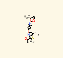 CNC(=O)c1csc2c(C(F)(F)F)cc(OC3CC4(C3)CN(C(=O)OC(C)C3CC3)C4)nc12